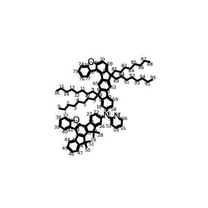 CCCCCCCCC1(CCCCCCCC)c2cc(N(c3ccc4c(c3)C(C)(C)c3c5c(c6c(oc7ccccc76)c3-4)-c3ccccc3C5(C)C)c3ccccn3)ccc2-c2cc3c(cc21)-c1c(ccc2oc4ccccc4c12)C3(CCCCCCCC)CCCCCCCC